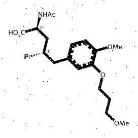 COCCCOc1cc(C[C@@H](C[C@H](NC(C)=O)C(=O)O)C(C)C)ccc1OC